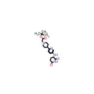 CC(C)(C)OC(=O)CN1CCC(c2ccc(N[C@H]3CCC(=O)NC3=O)cn2)CC1